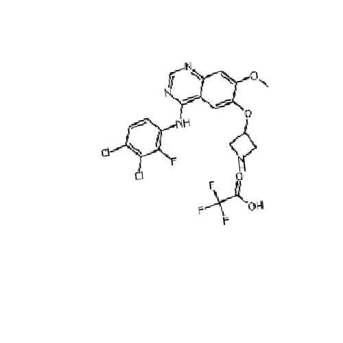 COc1cc2ncnc(Nc3ccc(Cl)c(Cl)c3F)c2cc1OC1CNC1.O=C(O)C(F)(F)F